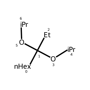 CCCCCCC(CC)(OC(C)C)OC(C)C